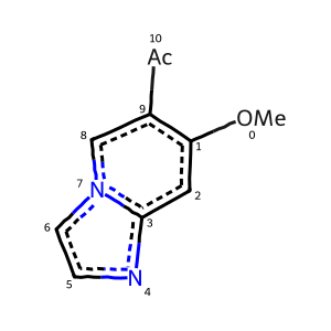 COc1cc2nccn2cc1C(C)=O